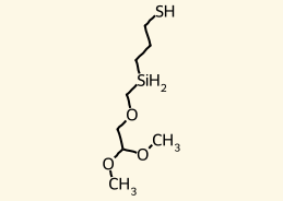 COC(COC[SiH2]CCCS)OC